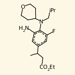 CCOC(=O)CC(C)c1cc(N)c(N(CC(C)C)C2CCOCC2)c(F)c1